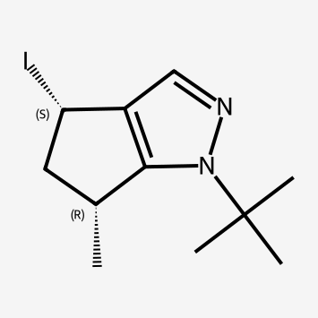 C[C@@H]1C[C@H](I)c2cnn(C(C)(C)C)c21